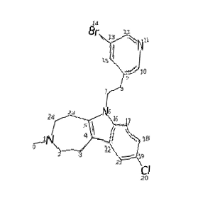 CN1CCc2c(n(CCc3cncc(Br)c3)c3ccc(Cl)cc23)CC1